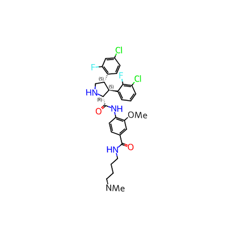 CNCCCCNC(=O)c1ccc(NC(=O)[C@@H]2NC[C@H](c3ccc(Cl)cc3F)[C@H]2c2cccc(Cl)c2F)c(OC)c1